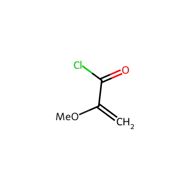 C=C(OC)C(=O)Cl